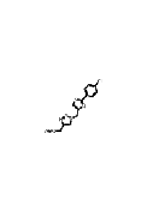 COCc1cn(Cc2csc(-c3ccc(Cl)cc3)n2)nn1